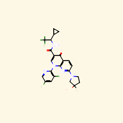 CC1(O)CCN(c2ccc3c(=O)c(C(=O)NC(C4CC4)C(F)(F)F)cn(-c4ncc(F)cc4F)c3n2)C1